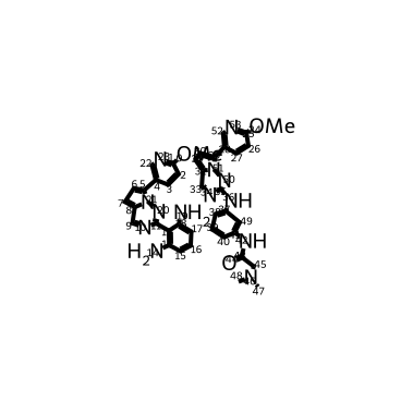 COc1ccc(-c2ccc3cnc(-c4c(N)cccc4N)nn23)cn1.COc1ccc(-c2ccc3cnc(Nc4cccc(NC(=O)CN(C)C)c4)nn23)cn1